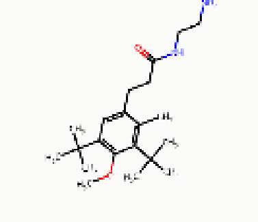 COc1c(C(C)(C)C)cc(CCC(=O)NCCN)c(C)c1C(C)(C)C